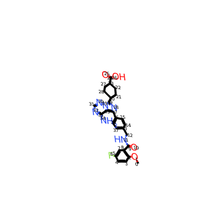 COc1ccc(F)cc1C(=O)NCc1ccc(-c2nc(C3CCC(C(=O)O)CC3)n3ncnc(N)c23)cc1